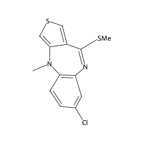 CSC1=Nc2cc(Cl)ccc2N(C)c2cscc21